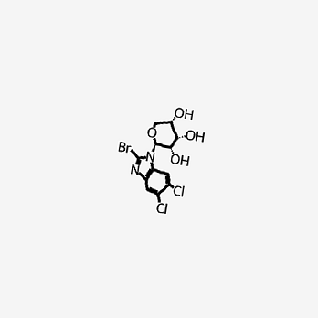 O[C@@H]1[C@H](O)[C@@H](n2c(Br)nc3cc(Cl)c(Cl)cc32)OC[C@@H]1O